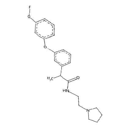 CC(C(=O)NCCN1CCCC1)c1cccc(Oc2cccc(OF)c2)c1